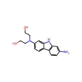 Nc1ccc2c(c1)[nH]c1cc(N(CCO)CCO)ccc12